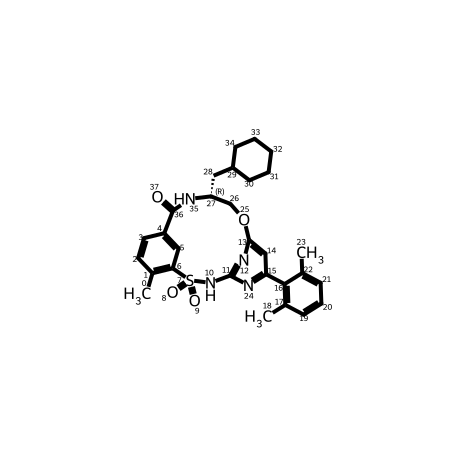 Cc1ccc2cc1S(=O)(=O)Nc1nc(cc(-c3c(C)cccc3C)n1)OC[C@@H](CC1CCCCC1)NC2=O